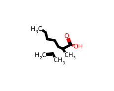 C=CC.CCCCCC(C)C(=O)O